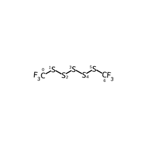 FC(F)(F)SSSSSC(F)(F)F